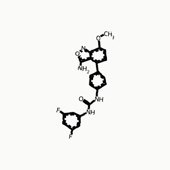 COc1ccc(-c2ccc(NC(=O)Nc3cc(F)cc(F)c3)cc2)c2c(N)onc12